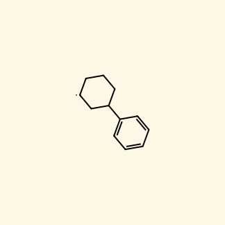 [CH]1CCCC(c2ccccc2)C1